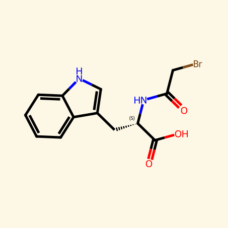 O=C(CBr)N[C@@H](Cc1c[nH]c2ccccc12)C(=O)O